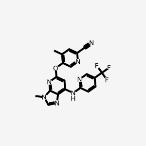 Cc1cc(C#N)ncc1Oc1cc(Nc2ccc(C(F)(F)F)cn2)c2ncn(C)c2n1